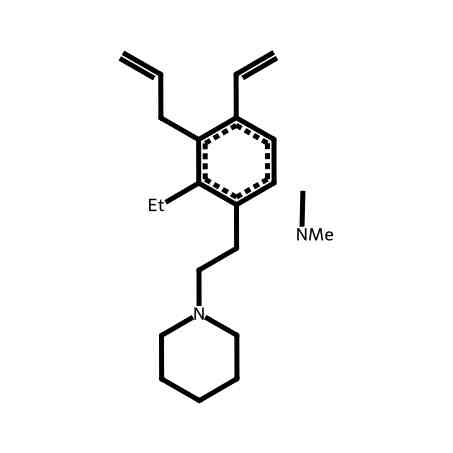 C=CCc1c(C=C)ccc(CCN2CCCCC2)c1CC.CNC